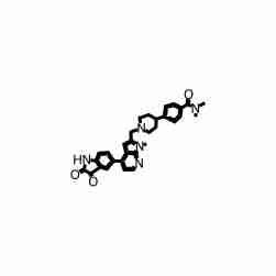 CN(C)C(=O)c1ccc(C2CCN(Cc3cc4c(-c5ccc6c(c5)C(=O)C(=O)N6)ccnc4n3C)CC2)cc1